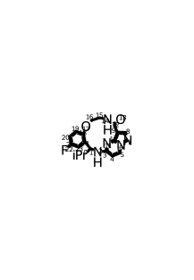 CC(C)C1Nc2ccn3ncc(c3n2)C(=O)NCCOc2ccc(F)cc21